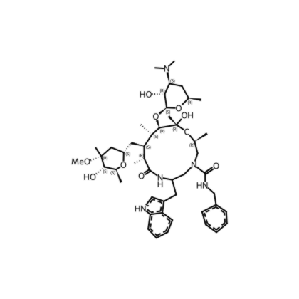 CO[C@]1(C)C[C@H](C[C@H]2[C@H](C)[C@@H](O[C@@H]3O[C@H](C)C[C@H](N(C)C)[C@H]3O)[C@](C)(O)C[C@@H](C)CN(C(=O)NCc3ccccc3)CC(Cc3c[nH]c4ccccc34)NC(=O)[C@@H]2C)O[C@@H](C)[C@@H]1O